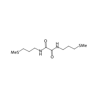 CSCCCNC(=O)C(=O)NCCCSC